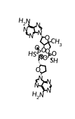 C[C@]1(CO[P@](=O)(O)S)O[C@@H](n2cnc3c(N)ncnc32)C[C@@H]1O[P@](=O)(S)OC[C@@H]1CC[C@H](n2cnc3c(N)ncnc32)O1